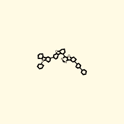 c1ccc(-c2ccc(-c3ccc4oc5c(-c6cccc7oc8cc(-c9ccc%10c(c9)c9ccccc9n%10-c9ccccc9)ccc8c67)ncnc5c4c3)cc2)cc1